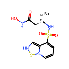 CC[C@H](C)[C@@H](CC(=O)NO)NS(=O)(=O)C1=CC=CN2SNC=C12